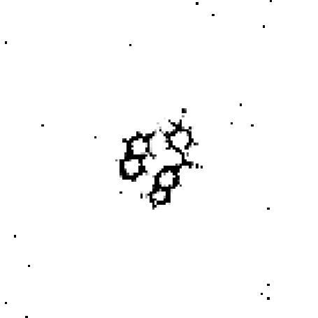 O=C(c1ccc2[nH]ncc2c1)N1CCC(F)(F)[C@@H](Oc2ccc3ccccc3n2)C1